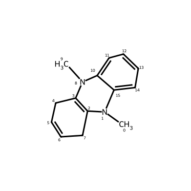 CN1C2=C(CC=CC2)N(C)c2ccccc21